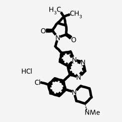 CN[C@H]1CCCN(c2ccc(Cl)cc2-c2ncnn3cc(CN4C(=O)C5C(C4=O)C5(C)C)cc23)C1.Cl